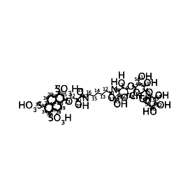 CC1O[C@@H](OC2C(O)[C@@H](NC(=O)CCCCCNC(=O)C(=O)COc3cc(S(=O)(=O)O)c4ccc5c(S(=O)(=O)O)cc(S(=O)(=O)O)c6ccc3c4c65)C(CO)O[C@H]2C)C(CO)C(O)[C@H]1O[C@@H]1OC[C@@H](O)C(O)C1O